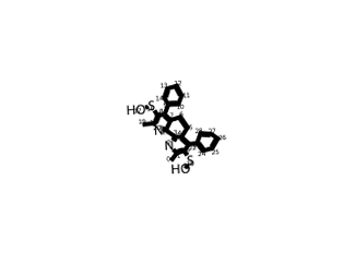 Cc1nc2c(ccc3c(-c4ccccc4)c(SO)c(C)nc32)c(-c2ccccc2)c1SO